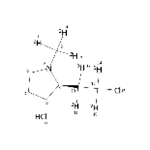 Cl.[2H]C([2H])([2H])N1CCC[C@@H]1C([2H])([2H])C([2H])([2H])Cl